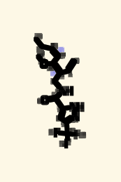 C=C/C(CNC(=O)c1cc(C(F)(F)F)n[nH]1)=C(\C=C/CC)OC